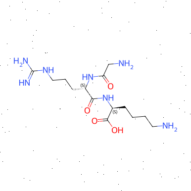 N=C(N)NCCC[C@H](NC(=O)CN)C(=O)N[C@@H](CCCCN)C(=O)O